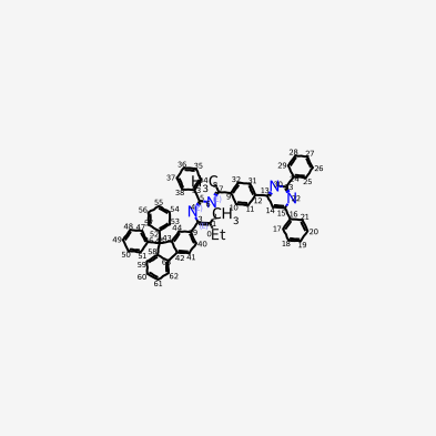 CC/C(C)=C(/N=C(\N=C(/C)c1ccc(-c2cc(-c3ccccc3)nc(-c3ccccc3)n2)cc1)c1ccccc1)c1ccc2c(c1)C(c1ccccc1)(c1ccccc1)c1ccccc1-2